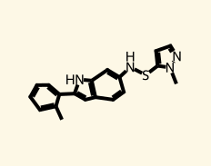 Cc1ccccc1-c1cc2ccc(NSc3ccnn3C)cc2[nH]1